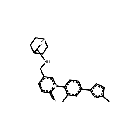 Cc1ccc(-c2ccc(-n3cc(CNC4CN5CCC4CC5)ccc3=O)c(C)c2)s1